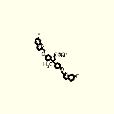 CC(CCC(=O)[O-])(c1ccc(OCc2ccc3ccc(F)cc3n2)cc1)c1ccc(OCc2ccc3ccc(F)cc3n2)cc1.[Na+]